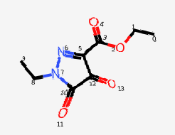 CCOC(=O)C1=NN(CC)C(=O)C1=O